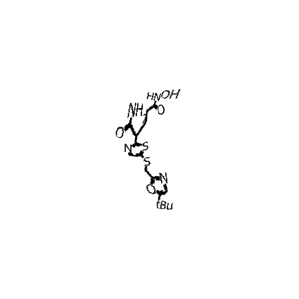 CC(C)(C)c1cnc(CSc2cnc(C(CCC(=O)NO)C(N)=O)s2)o1